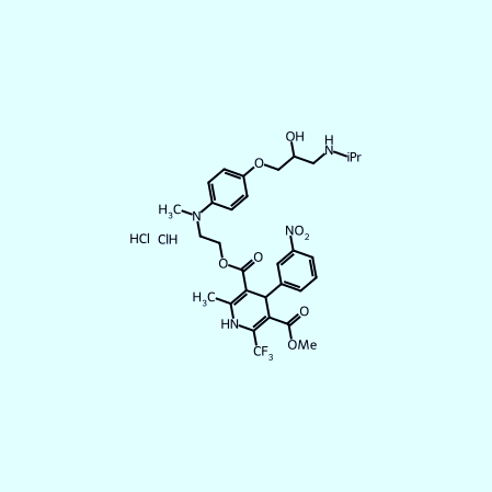 COC(=O)C1=C(C(F)(F)F)NC(C)=C(C(=O)OCCN(C)c2ccc(OCC(O)CNC(C)C)cc2)C1c1cccc([N+](=O)[O-])c1.Cl.Cl